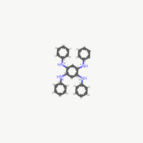 c1ccc(Nc2cc(Nc3ccccc3)c(Nc3ccccc3)cc2Nc2ccccc2)cc1